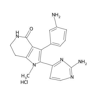 Cl.Cn1c2c(c(-c3cccc(N)c3)c1-c1ccnc(N)n1)C(=O)NCC2